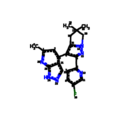 Cc1cc(-c2c(-c3ccc(F)cn3)nn3c2CC(C)(C)C3)c2cn[nH]c2n1